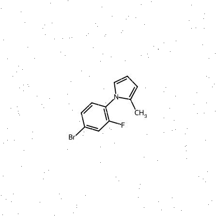 Cc1cccn1-c1ccc(Br)cc1F